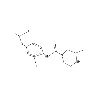 Cc1cc(OC(F)F)ccc1NC(=O)N1CCNC(C)C1